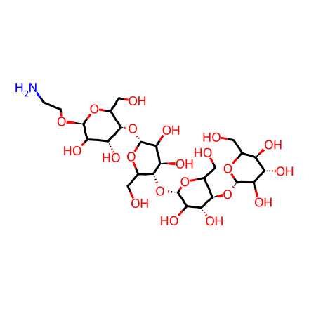 NCCO[C@H]1OC(CO)[C@H](O[C@H]2OC(CO)[C@@H](O[C@@H]3OC(CO)[C@@H](O[C@@H]4OC(CO)[C@@H](O)[C@H](O)C4O)[C@H](O)C3O)[C@H](O)C2O)[C@H](O)C1O